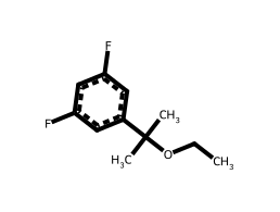 CCOC(C)(C)c1cc(F)cc(F)c1